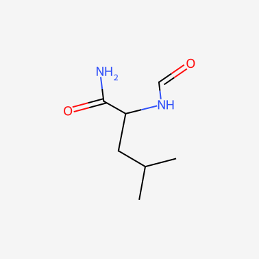 CC(C)CC(NC=O)C(N)=O